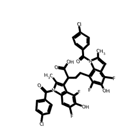 Cc1c(C(CCc2c(F)c(O)c(F)c3[c]c(C)n(C(=O)c4ccc(Cl)cc4)c23)C(=O)O)c2c(F)c(O)c(F)cc2n1C(=O)c1ccc(Cl)cc1